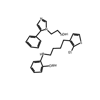 CCCCCCCCCCCCn1cncc1-c1ccccc1.CCc1sccc1CCCCBc1ccccc1OC